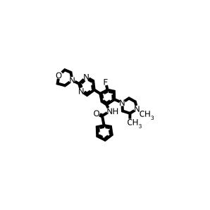 CC1CN(c2cc(F)c(-c3cnc(N4CCOCC4)nc3)cc2NC(=O)c2ccccc2)CCN1C